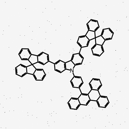 c1ccc2c(c1)-c1ccccc1C21c2ccccc2-c2ccc(-c3ccc4c(c3)c3cc(-c5ccc6c(c5)C5(c7ccccc7-c7ccccc75)c5ccccc5-6)ccc3n4-c3ccc(-c4c5ccccc5cc5c6ccccc6c6ccccc6c45)cc3)cc21